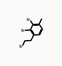 Cc1ccc(CCBr)c(Br)c1Br